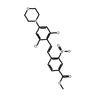 COC(=O)c1ccc(/C=C/c2c(Cl)cc(N3CCOCC3)cc2Cl)c([N+](=O)[O-])c1